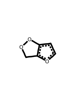 c1cc2c(o1)COO2